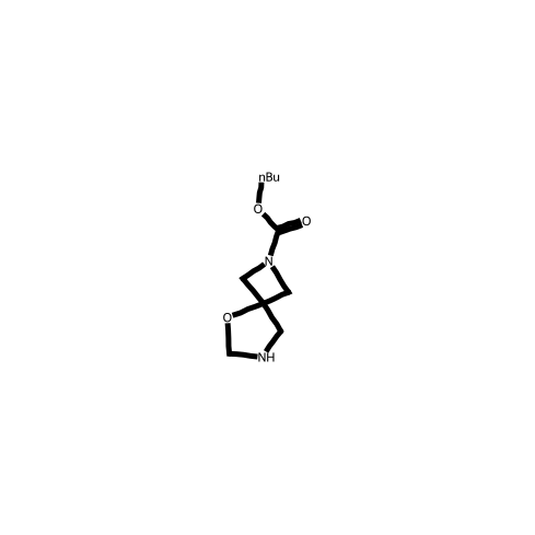 CCCCOC(=O)N1CC2(CNCO2)C1